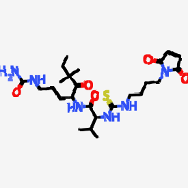 CCC(C)(C)C(=O)[C@H](CCCNC(N)=O)NC(=O)[C@@H](NC(=S)NCCCCN1C(=O)C=CC1=O)C(C)C